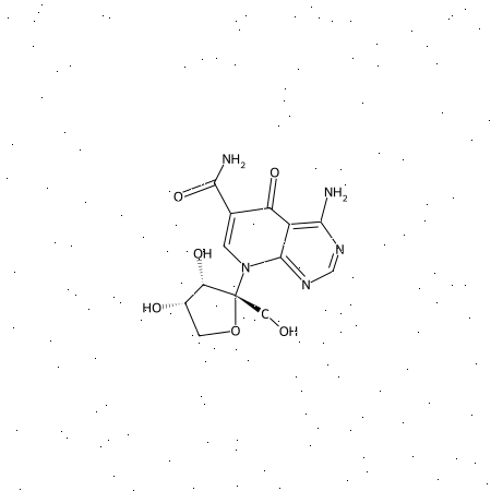 NC(=O)c1cn([C@]2(CO)OC[C@H](O)[C@@H]2O)c2ncnc(N)c2c1=O